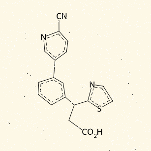 N#Cc1ccc(-c2cccc(C(CC(=O)O)c3nccs3)c2)cn1